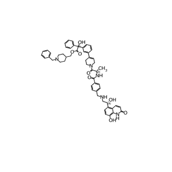 C[C@@H](NC(=O)c1ccc(CNC[C@H](O)c2ccc(O)c3[nH]c(=O)ccc23)cc1)C(=O)N1CC=C(c2cccc([C@](O)(C(=O)OCC3CCN(Cc4ccccc4)CC3)c3ccccc3)c2)CC1